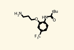 CC(C)(C)C(=O)Nc1ccc(C(F)(F)F)cc1OCCCN